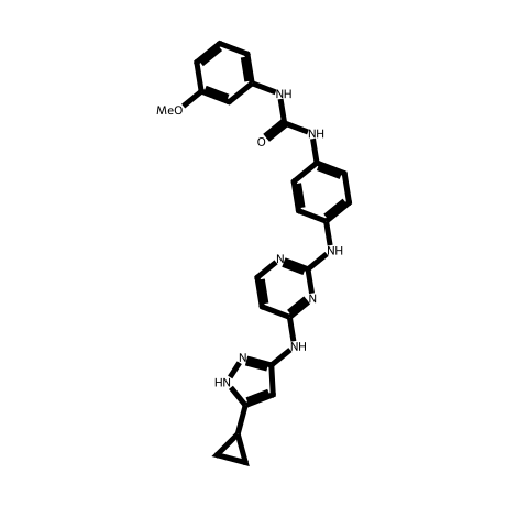 COc1cccc(NC(=O)Nc2ccc(Nc3nccc(Nc4cc(C5CC5)[nH]n4)n3)cc2)c1